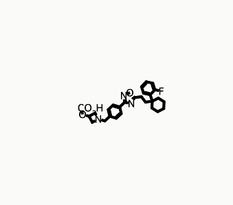 O=C(O)OC1CN(Cc2ccc(-c3noc(CCC4(c5ccccc5F)CCCCC4)n3)cc2)C1